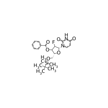 CC(C)(C)[Si](C)(C)OC[C@H]1O[C@@H](n2ccc(=O)[nH]c2=O)C(F)C1OC(=O)c1ccccc1